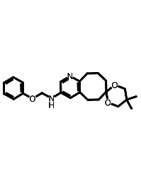 CC1(C)COC2(CCCc3ncc(NCOc4ccccc4)cc3CC2)OC1